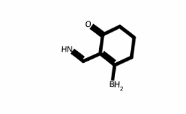 BC1=C(C=N)C(=O)CCC1